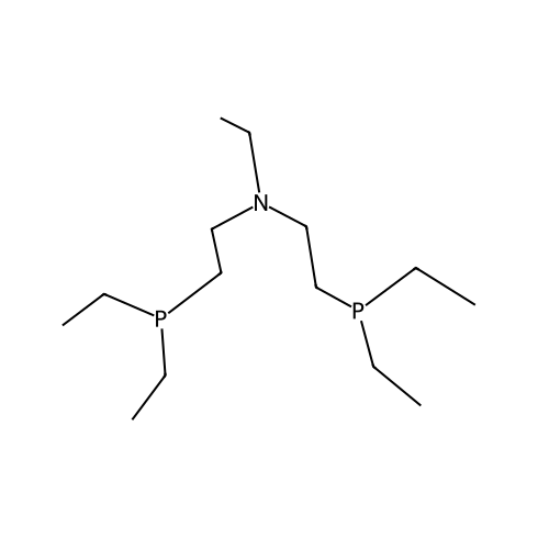 CCN(CCP(CC)CC)CCP(CC)CC